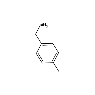 Cc1ccc(C[SiH3])cc1